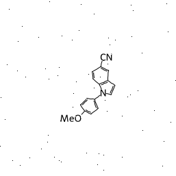 COc1ccc(-n2ccc3cc(C#N)ccc32)cc1